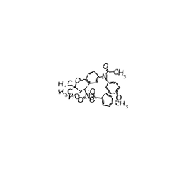 COc1ccc(N(C(C)=O)c2ccc3c(c2)[C@@](OCc2ccccc2)([N+](=O)[O-])[C@@H](O)C(C)(C)O3)cc1